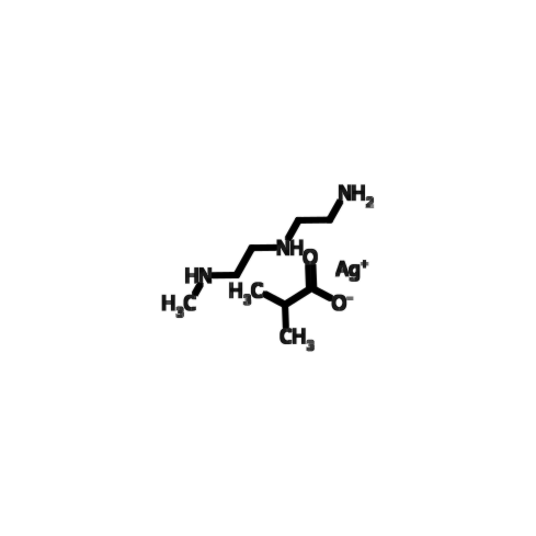 CC(C)C(=O)[O-].CNCCNCCN.[Ag+]